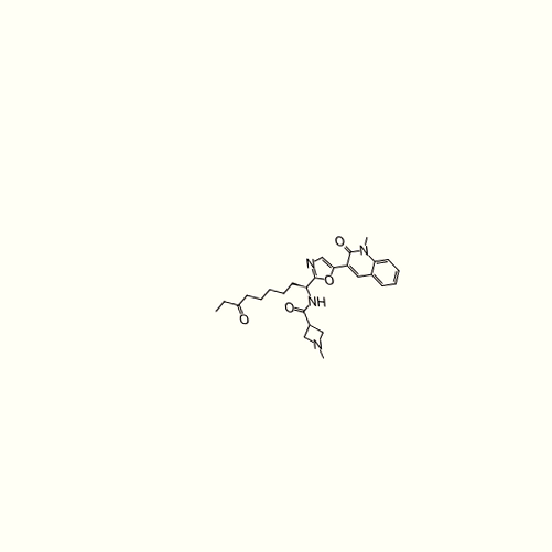 CCC(=O)CCCCC[C@H](NC(=O)C1CN(C)C1)c1ncc(-c2cc3ccccc3n(C)c2=O)o1